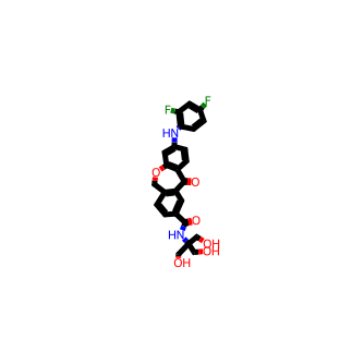 O=C(NC(CO)(CO)CO)c1ccc2c(c1)C(=O)c1ccc(Nc3ccc(F)cc3F)cc1OC2